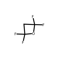 FC1(F)CC(F)(F)O1